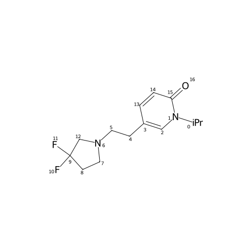 CC(C)n1cc(CCN2CCC(F)(F)C2)ccc1=O